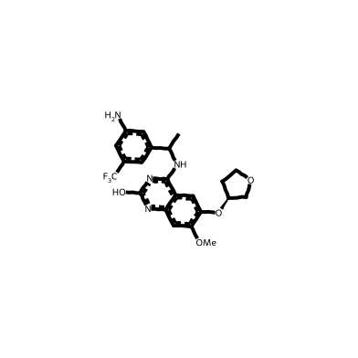 COc1cc2nc(O)nc(NC(C)c3cc(N)cc(C(F)(F)F)c3)c2cc1O[C@H]1CCOC1